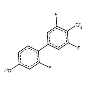 Oc1ccc(-c2cc(F)c(C(F)(F)F)c(F)c2)c(F)c1